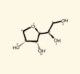 OC[C@@H](O)[C@@H]1OC[C@@H](O)[C@H]1O